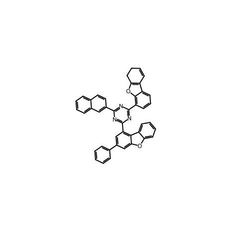 C1=Cc2c(oc3c(-c4nc(-c5ccc6ccccc6c5)nc(-c5cc(-c6ccccc6)cc6oc7ccccc7c56)n4)cccc23)CC1